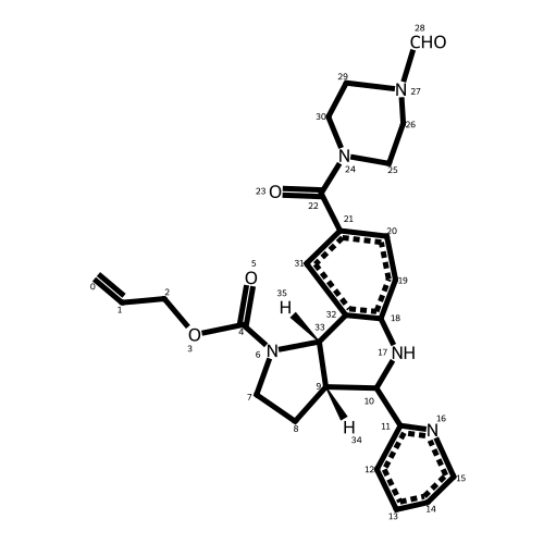 C=CCOC(=O)N1CC[C@H]2C(c3ccccn3)Nc3ccc(C(=O)N4CCN(C=O)CC4)cc3[C@H]21